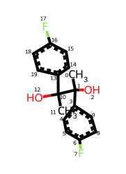 CC(O)(c1ccc(F)cc1)C(C)(O)c1ccc(F)cc1